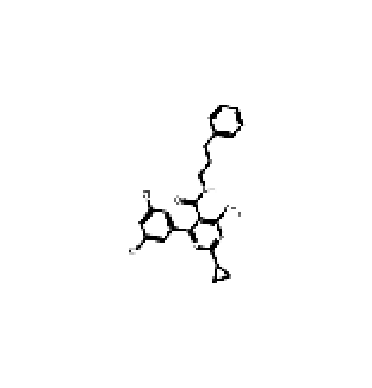 Cc1nc(C2CC2)nc(-c2cc(Cl)cc(Cl)c2)c1C(=O)NCCCc1ccccc1